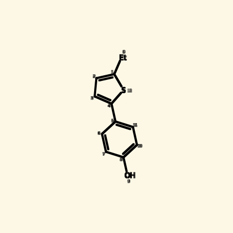 CCc1ccc(-c2ccc(O)cc2)s1